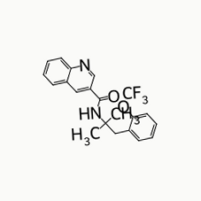 CC(C)(Cc1ccccc1OC(F)(F)F)NC(=O)c1cnc2ccccc2c1